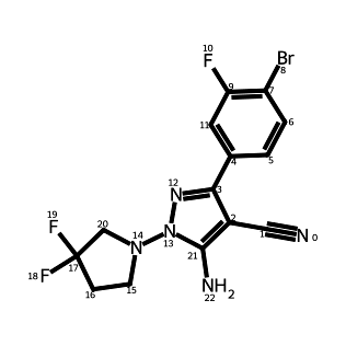 N#Cc1c(-c2ccc(Br)c(F)c2)nn(N2CCC(F)(F)C2)c1N